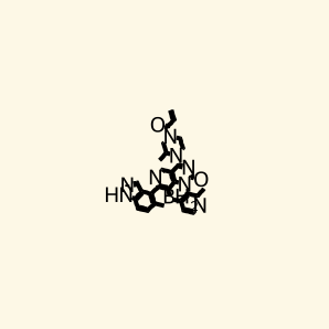 Bc1c(-c2c(C)ccc3[nH]ncc23)ncc2c(N3CCN(C(=O)C=C)CC3C)nc(=O)n(-c3c(C)ccnc3C)c12